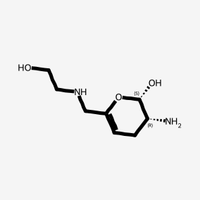 N[C@@H]1CC=C(CNCCO)O[C@@H]1O